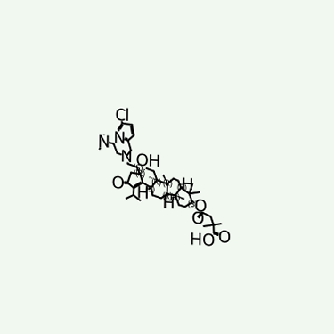 CC(C)C1=C2[C@H]3CC[C@@H]4[C@@]5(C)CC[C@H](OC(=O)CC(C)(C)C(=O)O)C(C)(C)[C@@H]5CC[C@@]4(C)[C@]3(C)CC[C@@]2([C@H](O)CN(CCN(C)C)Cc2ccc(Cl)cn2)CC1=O